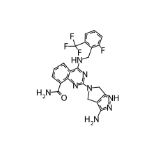 NC(=O)c1cccc2c(NCc3c(F)cccc3C(F)(F)F)nc(N3Cc4[nH]nc(N)c4C3)nc12